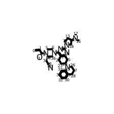 C=CC(=O)N1CCN(c2nc(N3CCC(N(C)C)C3)nc3c2CCC(N2CCCc4ccccc42)C3)C[C@@H]1CC#N